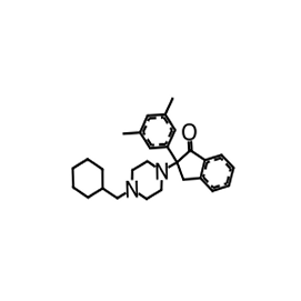 Cc1cc(C)cc(C2(N3CCN(CC4CCCCC4)CC3)Cc3ccccc3C2=O)c1